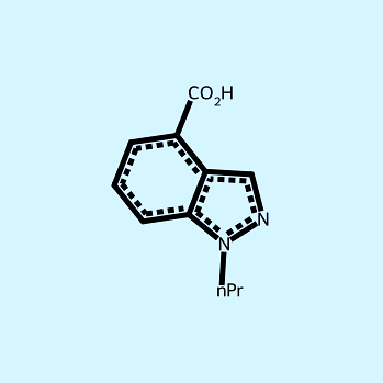 CCCn1ncc2c(C(=O)O)cccc21